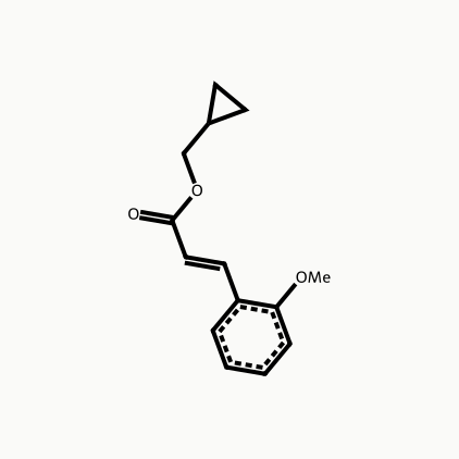 COc1ccccc1C=CC(=O)OCC1CC1